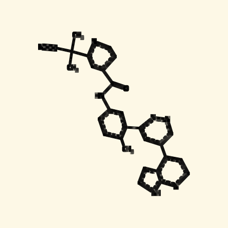 Cc1ccc(NC(=O)c2ccnc(C(C)(C)C#N)c2)cc1-c1cc(-c2ccnc3[nH]ccc23)cnn1